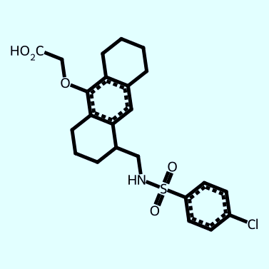 O=C(O)COc1c2c(cc3c1CCCC3CNS(=O)(=O)c1ccc(Cl)cc1)CCCC2